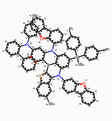 CC(C)c1ccc([Si](c2ccc(C(C)C)cc2)(c2cc3c4c(c2)N(c2cccc5c2oc2ccccc25)c2cc(N(c5ccc(C(C)(C)C)cc5)c5ccccc5-c5ccccc5)ccc2B4c2sc4ccc(C(C)(C)C)cc4c2N3c2ccc3c(c2)oc2ccccc23)C(C)(C)C)cc1